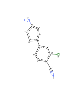 N#Cc1ccc(-c2ccc(N)cc2)cc1Cl